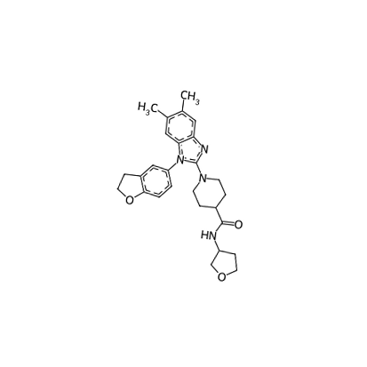 Cc1cc2nc(N3CCC(C(=O)NC4CCOC4)CC3)n(-c3ccc4c(c3)CCO4)c2cc1C